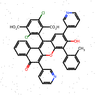 Cc1ccccc1-c1c(O)c(-c2cccnc2)cc2c(-c3c(Cl)c(C(=O)O)cc(Cl)c3C(=O)O)c3c4ccccc4c(=O)c(-c4cccnc4)c-3oc12